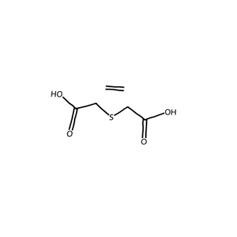 C=C.O=C(O)CSCC(=O)O